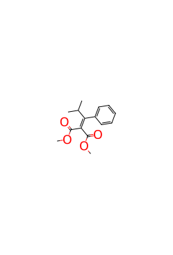 COC(=O)C(C(=O)OC)=C(c1ccccc1)C(C)C